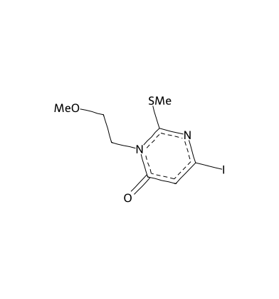 COCCn1c(SC)nc(I)cc1=O